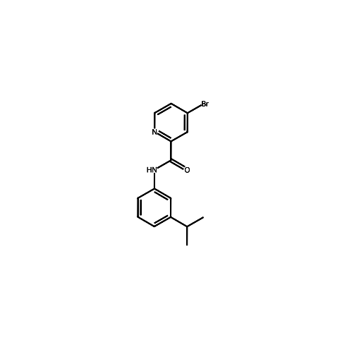 CC(C)c1cccc(NC(=O)c2cc(Br)ccn2)c1